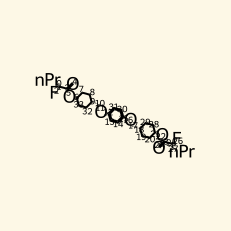 CCC[C@H](F)C(=O)O[C@H]1CC[C@H](COc2ccc(OC[C@H]3CC[C@H](OC(=O)[C@@H](F)CCC)CC3)cc2)CC1